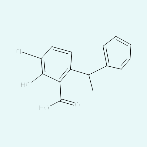 CC(c1ccccc1)c1ccc(Cl)c(O)c1C(=O)O